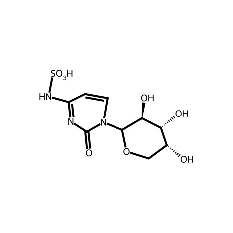 O=c1nc(NS(=O)(=O)O)ccn1C1OC[C@@H](O)[C@@H](O)[C@@H]1O